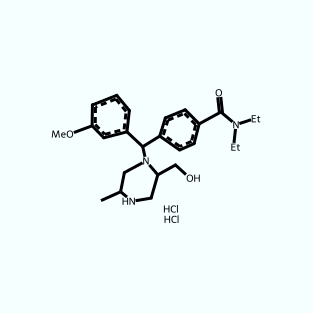 CCN(CC)C(=O)c1ccc(C(c2cccc(OC)c2)N2CC(C)NCC2CO)cc1.Cl.Cl